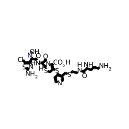 NCCC[C@H](N)C(=O)NCCSCc1cnccc1SC1=C(C(=O)O)N2C(=O)[C@@H](NC(=O)/C(=N\O)c3nc(N)sc3Cl)[C@@H]2SC1